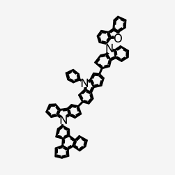 c1ccc(-n2c3cc(-c4ccc5c(c4)c4ccccc4n5-c4ccc5c6ccccc6c6ccccc6c5c4)ccc3c3ccc(-c4ccc5c(c4)c4ccccc4n5-c4cccc5c4oc4ccccc45)cc32)cc1